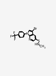 CNSc1cnc2c(c1)c(Br)cn2-c1ccc(C(F)(F)F)cc1